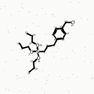 CCCO[Si](CCCc1ccc(CCl)cc1)(OCCC)OCCC